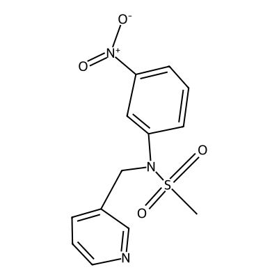 CS(=O)(=O)N(Cc1cccnc1)c1cccc([N+](=O)[O-])c1